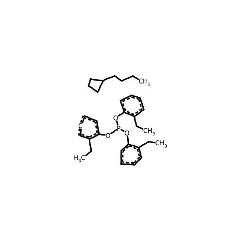 CCCCC1CCC1.CCc1ccccc1OP(Oc1ccccc1CC)Oc1ccccc1CC